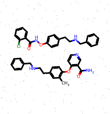 Cc1cc(CCNCc2ccccc2)ccc1Oc1ccncc1C(N)=O.O=C(NOc1ccc(CCNCc2ccccc2)cc1)c1ccccc1Cl